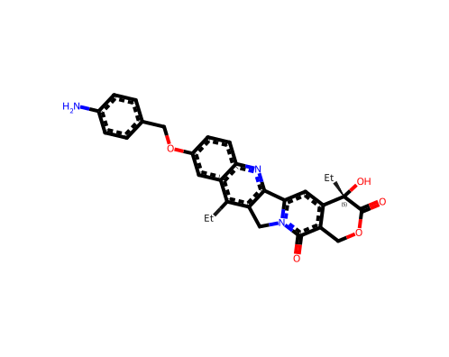 CCc1c2c(nc3ccc(OCc4ccc(N)cc4)cc13)-c1cc3c(c(=O)n1C2)COC(=O)[C@]3(O)CC